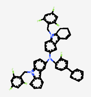 Fc1cc(F)c(Cn2c3c(c4cc(N(c5ccc6c(c5)c5ccccc5n6Cc5c(F)cc(F)cc5F)c5ccc(-c6ccccc6)cc5F)ccc42)C=CCC3)c(F)c1